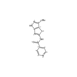 CC(C)(C)c1n[nH]c2nc(NC(=O)c3ccncc3)sc12